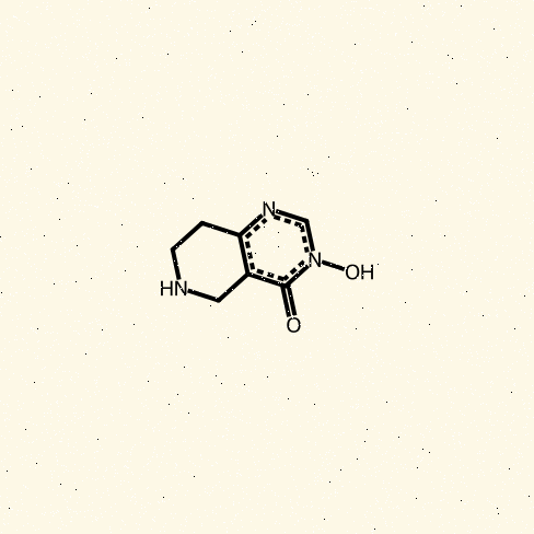 O=c1c2c(ncn1O)CCNC2